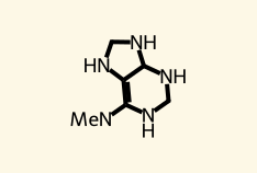 CNC1=C2NCNC2NCN1